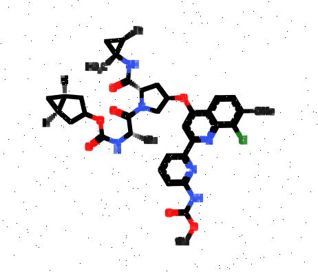 CC[C@@H]1C[C@]1(NC(=O)[C@@H]1C[C@@H](Oc2cc(-c3cccc(NC(=O)OC(C)(C)C)n3)nc3c(Cl)c(OC)ccc23)CN1C(=O)[C@@H](NC(=O)OC1C[C@@H]2C[C@@H]2C1)C(C)(C)C)C(=O)O